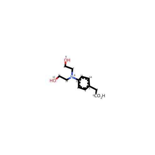 O=C(O)Cc1ccc(N(CCO)CCO)cc1